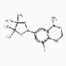 CN1CCOc2c(F)cc(B3OC(C)(C)C(C)(C)O3)cc21